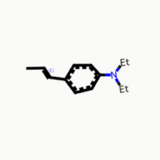 C/C=C/c1ccc(N(CC)CC)cc1